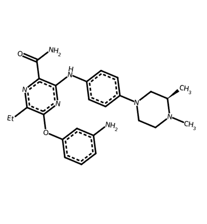 CCc1nc(C(N)=O)c(Nc2ccc(N3CCN(C)[C@H](C)C3)cc2)nc1Oc1cccc(N)c1